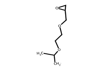 [CH2]C(C)OCCOCC1CO1